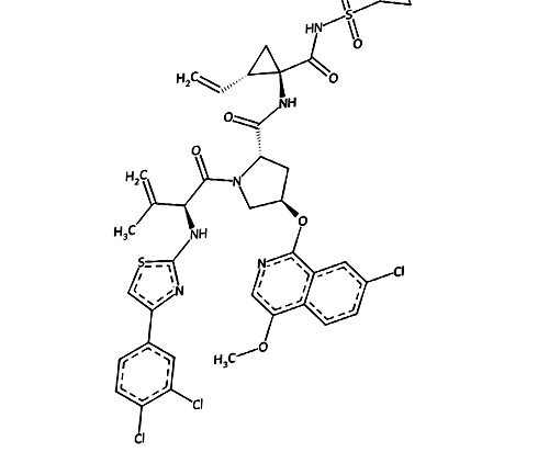 C=C[C@@H]1C[C@]1(NC(=O)[C@@H]1C[C@@H](Oc2ncc(OC)c3ccc(Cl)cc23)CN1C(=O)[C@@H](Nc1nc(-c2ccc(Cl)c(Cl)c2)cs1)C(=C)C)C(=O)NS(=O)(=O)C1CC1